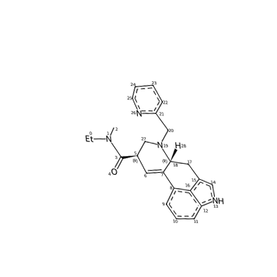 CCN(C)C(=O)[C@@H]1C=C2c3cccc4[nH]cc(c34)C[C@H]2N(Cc2ccccn2)C1